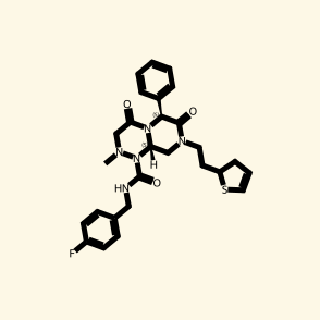 CN1CC(=O)N2[C@@H](c3ccccc3)C(=O)N(CCC3CC=CS3)C[C@@H]2N1C(=O)NCc1ccc(F)cc1